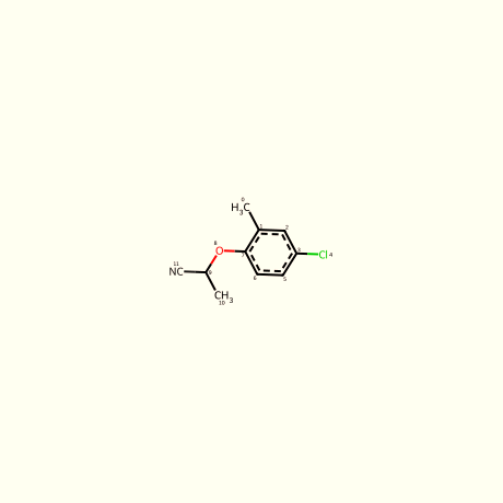 Cc1cc(Cl)ccc1OC(C)C#N